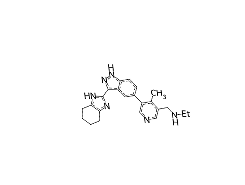 CCNCc1cncc(-c2ccc3[nH]nc(-c4nc5c([nH]4)CCCC5)c3c2)c1C